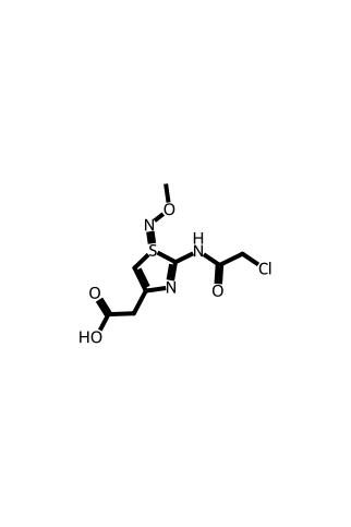 CO/N=S1/C=C(CC(=O)O)N=C1NC(=O)CCl